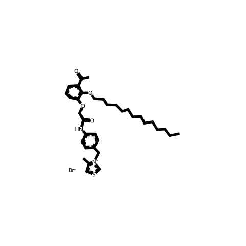 CCCCCCCCCCCCCCOc1c(OCC(=O)Nc2ccc(C[n+]3cscc3C)cc2)cccc1C(C)=O.[Br-]